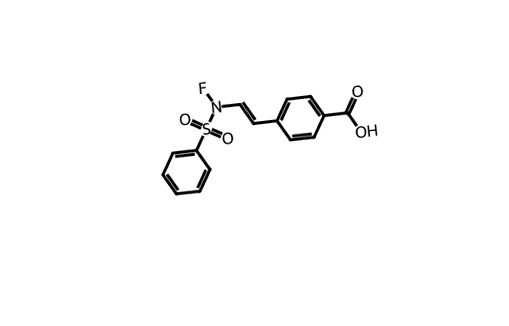 O=C(O)c1ccc(C=CN(F)S(=O)(=O)c2ccccc2)cc1